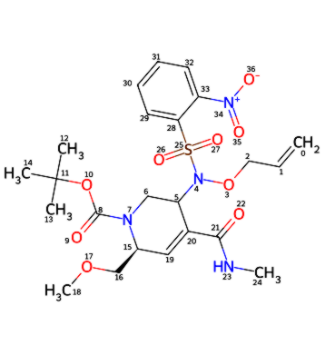 C=CCON(C1CN(C(=O)OC(C)(C)C)[C@H](COC)C=C1C(=O)NC)S(=O)(=O)c1ccccc1[N+](=O)[O-]